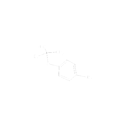 CCC(C)c1ccc(OC(C)(C)CC)cc1